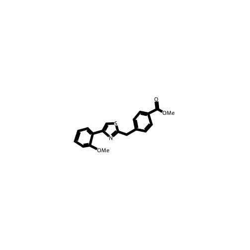 COC(=O)c1ccc(Cc2nc(-c3ccccc3OC)cs2)cc1